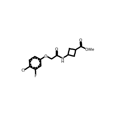 COC(=O)C1CC(NC(=O)COc2ccc(Cl)c(F)c2)C1